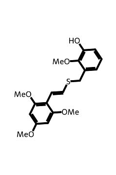 COc1cc(OC)c(C=CSCc2cccc(O)c2OC)c(OC)c1